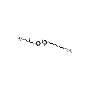 CCCCCCCCCCCCc1cnc(-c2ccc(OCCC(F)CCCC)cc2)nc1